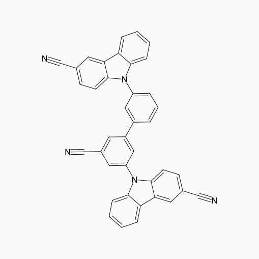 N#Cc1cc(-c2cccc(-n3c4ccccc4c4cc(C#N)ccc43)c2)cc(-n2c3ccccc3c3cc(C#N)ccc32)c1